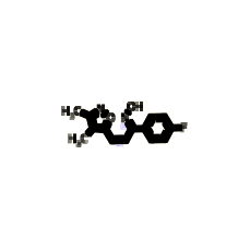 Cc1noc(/C=C\C(=N\O)c2ccc(F)cc2)c1C